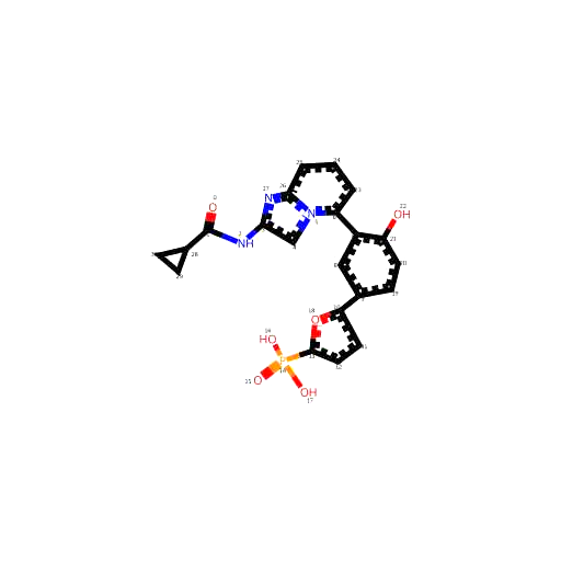 O=C(Nc1cn2c(-c3cc(-c4ccc(P(=O)(O)O)o4)ccc3O)cccc2n1)C1CC1